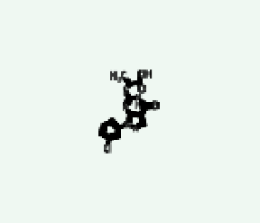 CC(Sc1nc2c(cnn2-c2cccc(Cl)c2)c(=O)[nH]1)C(=O)O